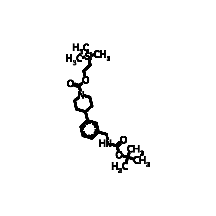 CC(C)(C)OC(=O)NCc1cccc(C2CCN(C(=O)OCC[Si](C)(C)C)CC2)c1